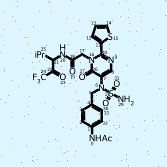 CC(=O)Nc1ccc(CN(c2cnc(-c3cccs3)n(CC(=O)NC(C(=O)C(F)(F)F)C(C)C)c2=O)S(N)(=O)=O)cc1